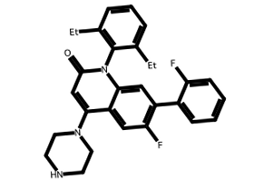 CCc1cccc(CC)c1-n1c(=O)cc(N2CCNCC2)c2cc(F)c(-c3ccccc3F)cc21